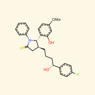 COc1ccc([C@@H]2[C@@H](CCC[C@@H](O)c3ccc(F)cc3)CC(=S)N2c2ccccc2)c(O)c1